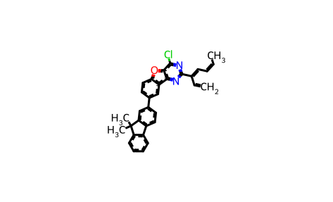 C=C/C(=C\C=C/C)c1nc(Cl)c2oc3ccc(-c4ccc5c(c4)C(C)(C)c4ccccc4-5)cc3c2n1